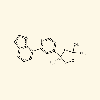 CC1(C)OC[C@@](C)(c2ccnc(-c3cccc4ccsc34)c2)O1